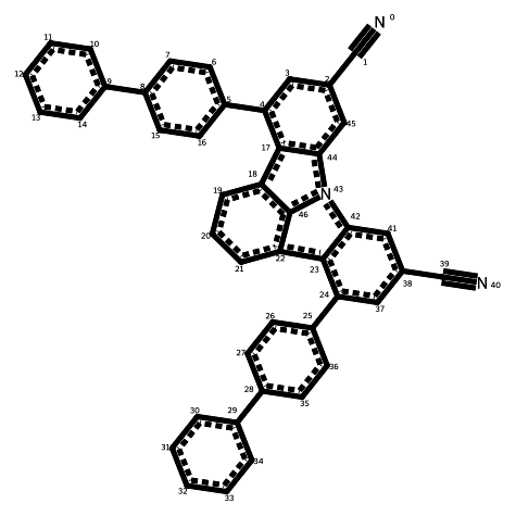 N#Cc1cc(-c2ccc(-c3ccccc3)cc2)c2c3cccc4c5c(-c6ccc(-c7ccccc7)cc6)cc(C#N)cc5n(c2c1)c34